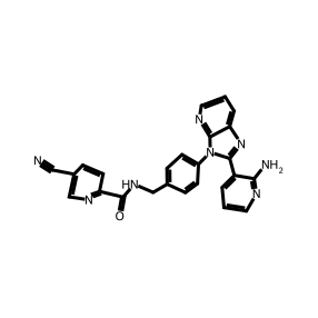 N#Cc1ccc(C(=O)NCc2ccc(-n3c(-c4cccnc4N)nc4cccnc43)cc2)nc1